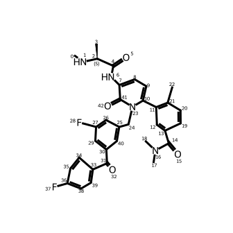 CN[C@@H](C)C(=O)Nc1ccc(-c2cc(C(=O)N(C)C)ccc2C)n(Cc2cc(F)cc(C(=O)c3ccc(F)cc3)c2)c1=O